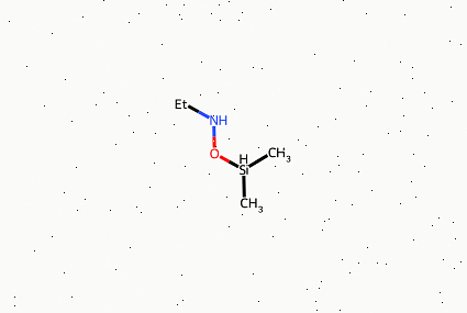 CCNO[SiH](C)C